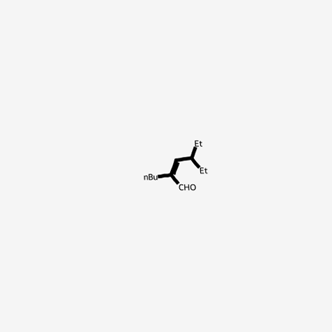 CCCCC(C=O)=CC(CC)CC